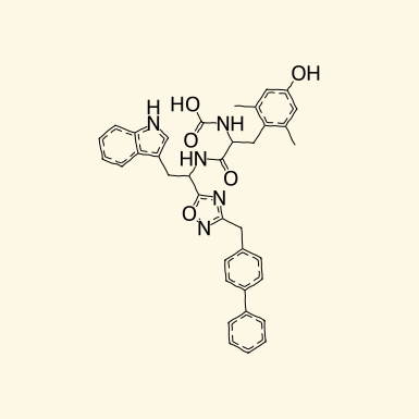 Cc1cc(O)cc(C)c1CC(NC(=O)O)C(=O)NC(Cc1c[nH]c2ccccc12)c1nc(Cc2ccc(-c3ccccc3)cc2)no1